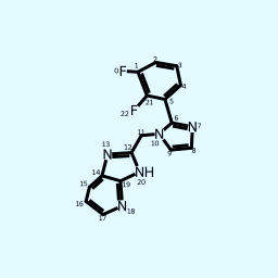 Fc1cccc(-c2nccn2Cc2nc3cccnc3[nH]2)c1F